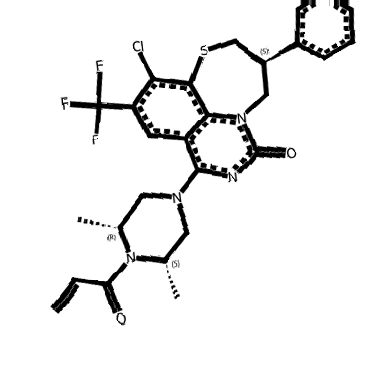 C=CC(=O)N1[C@H](C)CN(c2nc(=O)n3c4c(c(Cl)c(C(F)(F)F)cc24)SC[C@@H](c2cccnc2)C3)C[C@@H]1C